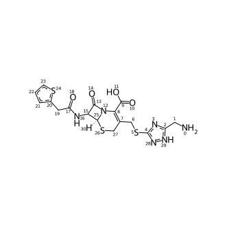 NCc1nc(SCC2=C(C(=O)O)N3C(=O)C(NC(=O)Cc4cccs4)[C@@H]3SC2)n[nH]1